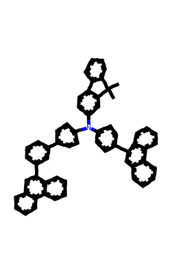 CC1(C)c2ccccc2-c2ccc(N(c3ccc(-c4cccc(-c5cc6ccccc6c6ccccc56)c4)cc3)c3ccc(-c4cc5ccccc5c5ccccc45)cc3)cc21